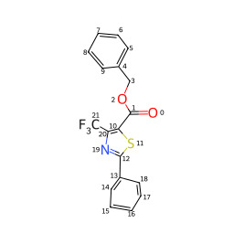 O=C(OCc1ccccc1)c1sc(-c2ccccc2)nc1C(F)(F)F